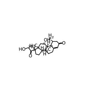 C[C@]12C[C@H](O)[C@H]3[C@@H](CCC4=CC(=O)CC(P)[C@@]43C)[C@@H]1CC[C@]2(O)C(=O)CO